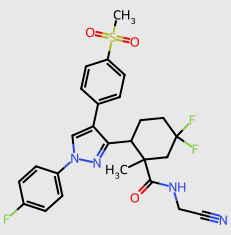 CC1(C(=O)NCC#N)CC(F)(F)CCC1c1nn(-c2ccc(F)cc2)cc1-c1ccc(S(C)(=O)=O)cc1